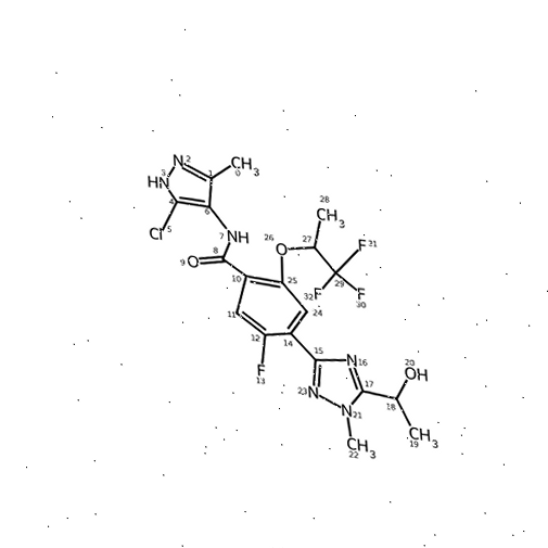 Cc1n[nH]c(Cl)c1NC(=O)c1cc(F)c(-c2nc(C(C)O)n(C)n2)cc1OC(C)C(F)(F)F